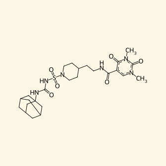 Cn1cc(C(=O)NCCC2CCN(S(=O)(=O)NC(=O)NC34CC5CC(CC(C5)C3)C4)CC2)c(=O)n(C)c1=O